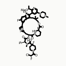 CCn1c(-c2cc(N3CCN(C)CC3)cnc2[C@H](C)OC)c2c3cc(c(F)cc31)-c1csc(n1)C[C@H](NC(=O)[C@H](C(C)C)N(C)C(=O)C1(F)CCN(C(=O)[C@H](F)Cl)CC1)C(=O)N1CCC[C@H](N1)C(=O)OCC(C)(C)C2